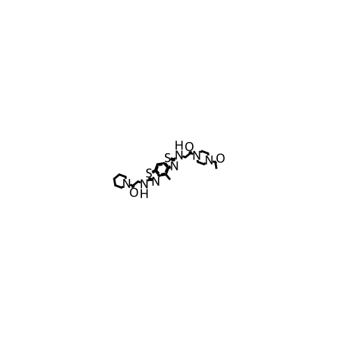 CC(=O)N1CCN(C(=O)CNc2nc3c(C)c4nc(NCC(=O)N5CCCCC5)sc4cc3s2)CC1